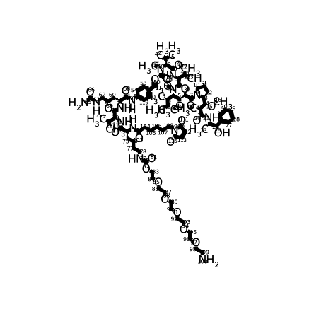 CC[C@H](C)[C@@H]([C@@H](CC(=O)N1CCC[C@H]1[C@H](OC)[C@@H](C)C(=O)N[C@H](C)[C@@H](O)c1ccccc1)OC)N(C)C(=O)[C@@H](NC(=O)[C@H](C(C)C)N(C)C(=O)OCc1ccc(NC(=O)[C@H](CCCNC(N)=O)NC(=O)[C@@H](NC(=O)[C@H](CCCCNC(=O)OCCOCCOCCOCCOCCOCCN)NC(=O)CCCCCN2C(=O)C=CC2=O)C(C)C)cc1)C(C)C